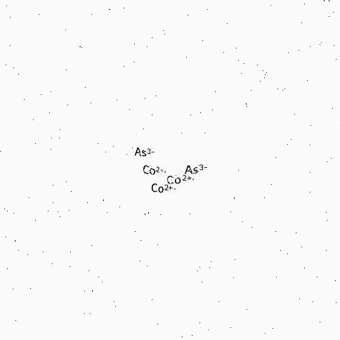 [As-3].[As-3].[Co+2].[Co+2].[Co+2]